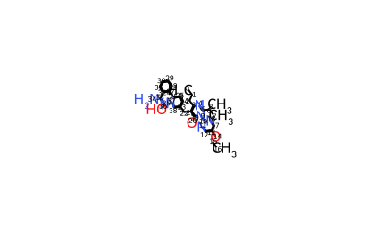 CCCc1nc(C(C)C)n(-c2ncc(OCC)cn2)c(=O)c1Cc1ccc(-c2ccccc2C(N)=NO)nc1